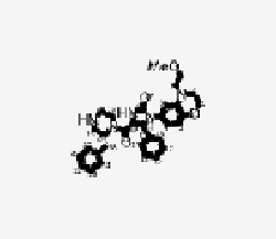 COCCN1CCOc2ccc(-n3c(-c4ccccc4)c(C(=O)N4CCNC[C@H]4Cc4ccccc4)[nH]c3=O)cc21